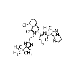 Cc1nn2cccnc2c1C(=O)N[C@@H](C)c1cc2cccc(Cl)c2c(=O)n1CCc1noc(C(C)(C)C)n1